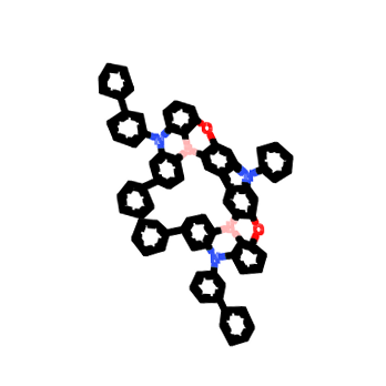 c1ccc(-c2cccc(N3c4cc(-c5ccccc5)ccc4B4c5cc6c7cc8c(cc7n(-c7ccccc7)c6cc5Oc5cccc3c54)Oc3cccc4c3B8c3ccc(-c5ccccc5)cc3N4c3cccc(-c4ccccc4)c3)c2)cc1